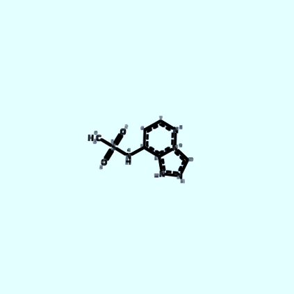 CS(=O)(=O)Nc1c[c]nn2cnnc12